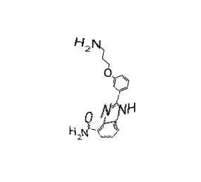 NCCCOc1cccc(-c2nc3c(C(N)=O)cccc3[nH]2)c1